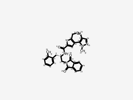 CCc1sc(C(=O)N[C@@H](Cc2ccccc2C)CN2C(=O)c3ccccc3C2=O)cc1-c1c(Br)cnn1C